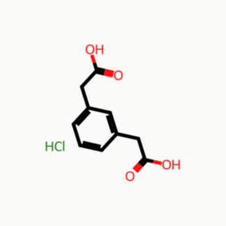 Cl.O=C(O)Cc1cccc(CC(=O)O)c1